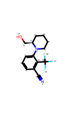 N#Cc1cccc(N2CCCC[C@@H]2CO)c1C(F)(F)F